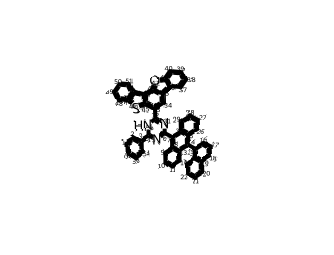 c1ccc(C2N=C(c3c4ccccc4c(-c4cccc5ccccc45)c4ccccc34)N=C(c3cc4c5ccccc5oc4c4c3sc3ccccc34)N2)cc1